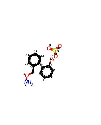 Brc1ccccc1.NOCc1ccccc1.O=S(=O)=O